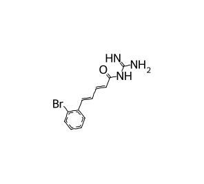 N=C(N)NC(=O)C=CC=Cc1ccccc1Br